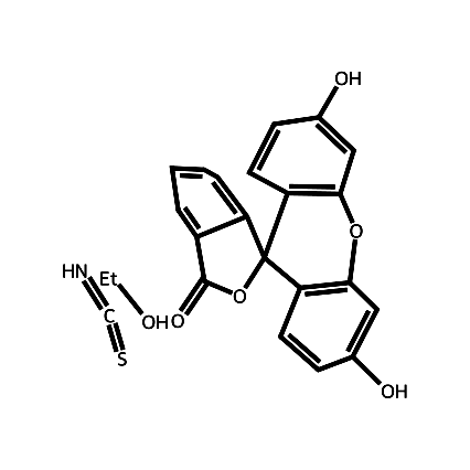 CCO.N=C=S.O=C1OC2(c3ccc(O)cc3Oc3cc(O)ccc32)c2ccccc21